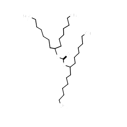 CCCCCCCC(CCCCCCC)OC(=O)OC(CCCCCCC)CCCCCCC